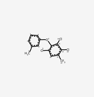 Cc1cccc(Oc2c(Cl)cc(C(F)(F)F)c(Cl)c2Cl)c1